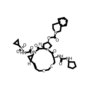 O=C(NC1CCCC1)N[C@H]1CCCCC/C=C/[C@@H]2C[C@@]2(C(=O)NS(=O)(=O)C2CC2)NC(=O)[C@@H]2C[C@@H](OC(=O)N3CCc4ccccc4C3)CN2C1=O